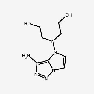 Nc1nnn2ccn(N(CCO)CCO)c12